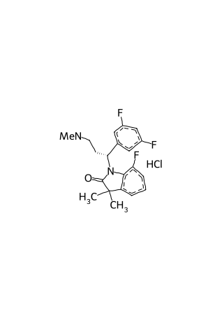 CNCC[C@H](c1cc(F)cc(F)c1)N1C(=O)C(C)(C)c2cccc(F)c21.Cl